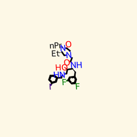 CCCN1C(=O)CN(CC(=O)N[C@@H](Cc2cc(F)cc(F)c2)[C@H](O)CNCc2cccc(I)c2)C[C@@H]1CC